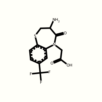 NC1CSc2ccc(C(F)(F)F)cc2N(CC(=O)O)C1=O